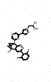 CC[C@H](O)Cn1cc(-c2cncc([C@@]34CC[C@@H](c5cc(-c6c(F)cccc6F)nnc53)C4(C)C)n2)cn1